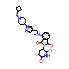 O=C1CCC(N2C(=O)c3cccc(NCc4cnn(C5CCN(CC6CCC6)CC5)c4)c3C2=O)C(=O)N1